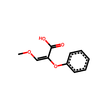 COC=C(Oc1ccccc1)C(=O)O